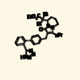 CCCc1c(Cc2ccc(-c3ccccc3-c3nnn[nH]3)cc2)c(=O)n2n1CCCC2C(CC)(CC)C(=O)OCC